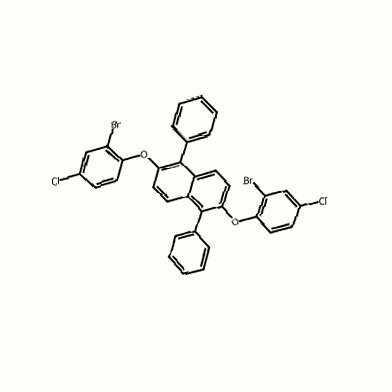 Clc1ccc(Oc2ccc3c(-c4ccccc4)c(Oc4ccc(Cl)cc4Br)ccc3c2-c2ccccc2)c(Br)c1